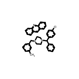 Cc1cccc(CN2CCN(C(c3ccccc3)c3ccc(Cl)cc3)CC2)c1.c1ccc2nc3ccccc3cc2c1